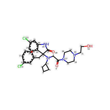 O=C(CN(C1CCC1)C1(Cc2cccc(Cl)c2)C(=O)Nc2cc(Cl)ccc21)N1CCN(CCO)CC1